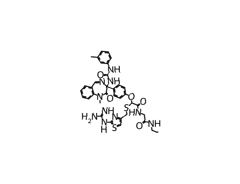 CCNC(=O)CNC(=O)C(Oc1ccc(C2(NC(=O)Nc3cccc(C)c3)N=Cc3ccccc3N(C)C2=O)cc1)SCc1csc(NC(=N)N)n1